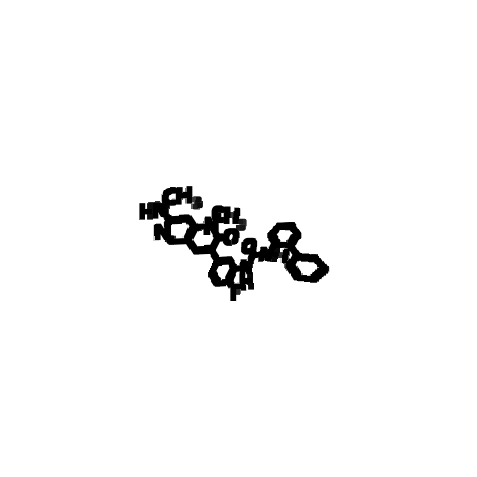 CNc1cc2c(cn1)cc(-c1ccc(F)c(NC(=O)Nc3ccccc3-c3ccccc3)c1)c(=O)n2C